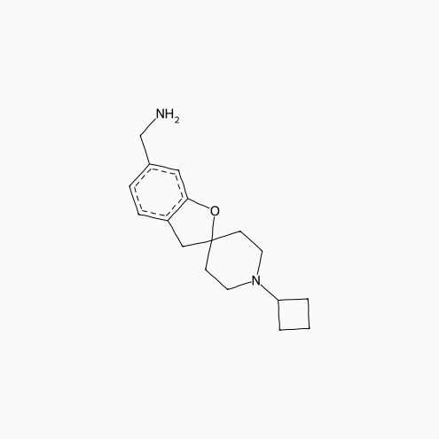 NCc1ccc2c(c1)OC1(CCN(C3CCC3)CC1)C2